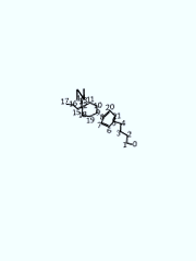 CCCCCc1ccc([C@H]2CC[C@@](C#N)(CCC)CC2)cc1